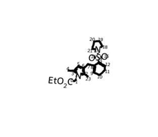 CCOC(=O)Cn1c(C)cc(CC2=CCCC=C2S(=O)(=O)N2CCCC2)c1C